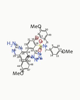 COc1ccc(CN(Cc2ccc(OC)cc2)S(=O)(=O)c2c(Br)ccc(-c3cccc4cnc(N)nc34)c2-c2nnnn2Cc2ccc(OC)cc2)cc1